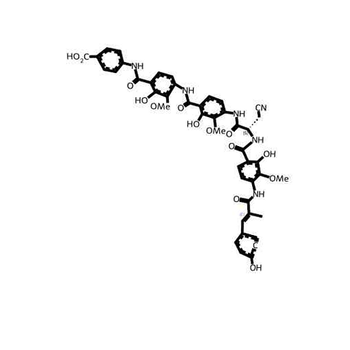 COc1c(NC(=O)/C(C)=C/c2ccc(O)cc2)ccc(C(=O)N[C@@H](CC#N)C(=O)Nc2ccc(C(=O)Nc3ccc(C(=O)Nc4ccc(C(=O)O)cc4)c(O)c3OC)c(O)c2OC)c1O